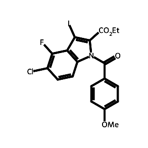 CCOC(=O)c1c(I)c2c(F)c(Cl)ccc2n1C(=O)c1ccc(OC)cc1